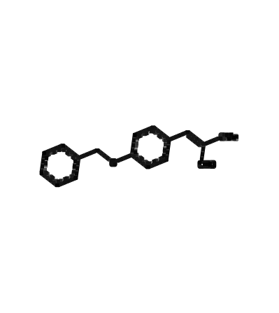 COC(C=O)=Cc1ccc(OCc2ccccc2)cc1